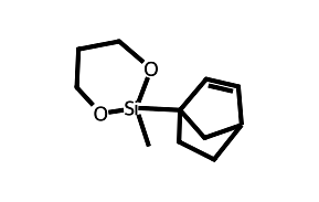 C[Si]1(C23C=CC(CC2)C3)OCCCO1